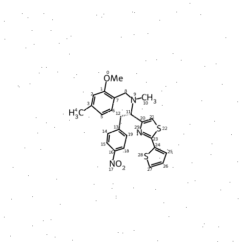 COc1cc(C)ccc1CN(C)[C@@H](Cc1ccc([N+](=O)[O-])cc1)c1csc(-c2cccs2)n1